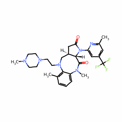 Cc1cc(C(F)(F)F)cc(N2C(=O)C[C@@H]3CN(CCN4CCN(C)CC4)c4c(C)cccc4N(C)C(=O)[C@H]32)n1